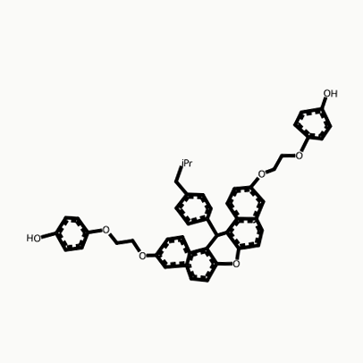 CC(C)Cc1ccc(C2c3c(ccc4cc(OCCOc5ccc(O)cc5)ccc34)Oc3ccc4cc(OCCOc5ccc(O)cc5)ccc4c32)cc1